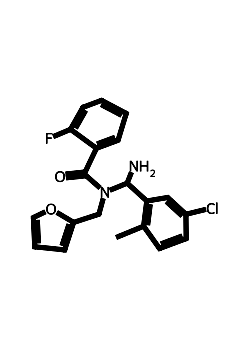 Cc1ccc(Cl)cc1C(N)N(Cc1ccco1)C(=O)c1ccccc1F